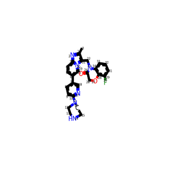 Cc1nc2ccc(-c3ccc(N4CCNCC4)nc3)cn2c1CN1C(=O)COc2c(F)cccc21